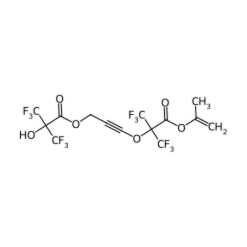 C=C(C)OC(=O)C(OC#CCOC(=O)C(O)(C(F)(F)F)C(F)(F)F)(C(F)(F)F)C(F)(F)F